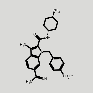 CCOC(=O)c1ccc(Cn2c(C(=O)N[C@H]3CC[C@H](N)CC3)c(N)c3ccc(C(=N)N)cc32)cc1